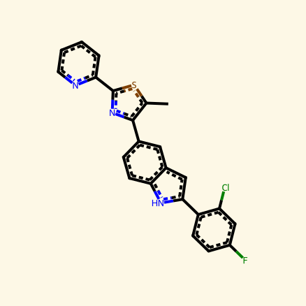 Cc1sc(-c2ccccn2)nc1-c1ccc2[nH]c(-c3ccc(F)cc3Cl)cc2c1